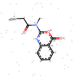 CCCCCCCCCCCC(=O)N(C)c1nc2ccccc2c(=O)o1